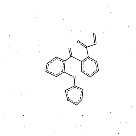 C=CC(=O)c1ccccc1C(=O)c1ccccc1Oc1ccccc1